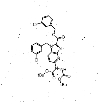 CC(C)(C)OC(=O)NN(C(=O)OC(C)(C)C)c1ccc2c(n1)nc(C(=O)OCc1cccc(Cl)c1)n2Cc1cccc(Cl)c1